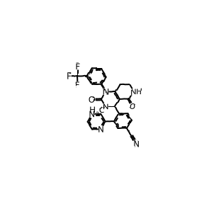 CN1C(=O)N(c2cccc(C(F)(F)F)c2)C2=C(C(=O)NCC2)C1c1ccc(C#N)cc1-c1cnccn1